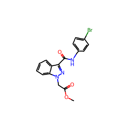 COC(=O)Cn1nc(C(=O)Nc2ccc(Br)cc2)c2ccccc21